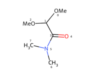 COC(OC)C(=O)N(C)C